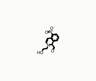 O=CC1c2cccc([N+](=O)[O-])c2C=CN1CCO